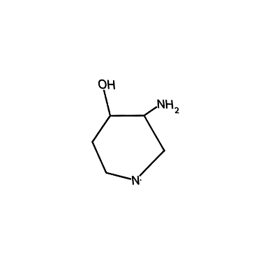 NC1C[N]CCC1O